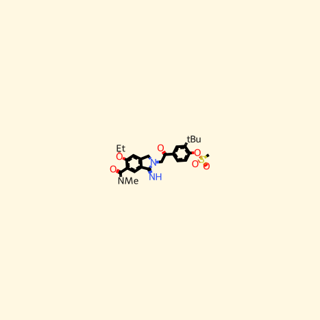 CCOc1cc2c(cc1C(=O)NC)C(=N)N(CC(=O)c1ccc(OS(C)(=O)=O)c(C(C)(C)C)c1)C2